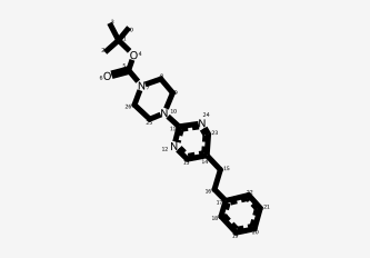 CC(C)(C)OC(=O)N1CCN(c2ncc(CCc3ccccc3)cn2)CC1